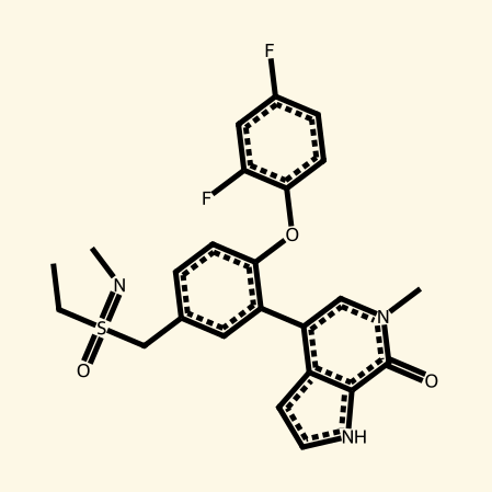 CCS(=O)(Cc1ccc(Oc2ccc(F)cc2F)c(-c2cn(C)c(=O)c3[nH]ccc23)c1)=NC